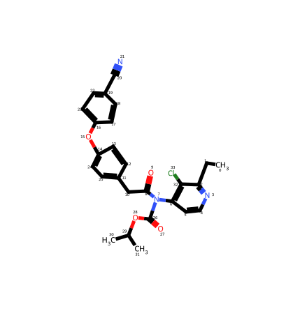 CCc1nccc(N(C(=O)Cc2ccc(Oc3ccc(C#N)cc3)cc2)C(=O)OC(C)C)c1Cl